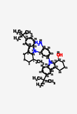 CC1CCCc2c1n(-c1cc(-n3c4c(c5cc(C(C)(C)C)ccc53)CCCC4O)ccc1N)c1ccc(C(C)(C)C)cc21